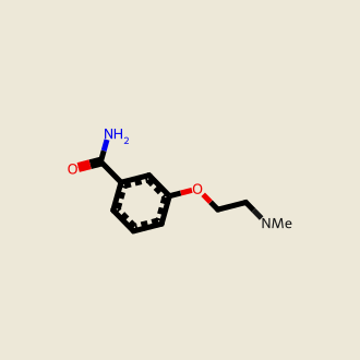 CNCCOc1cccc(C(N)=O)c1